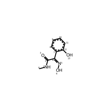 CNC(=O)C(=NO)c1ccccc1O